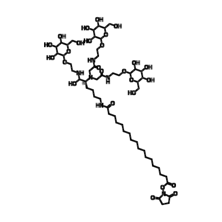 O=C(CCCCCCCCCCCCCCCCC(=O)ON1C(=O)CCC1=O)NCCCC[C@@H](C(O)NCCOC1OC(CO)C(O)C(O)C1O)N(CC(=O)NCCOC1OC(CO)C(O)C(O)C1O)CC(=O)NCCOC1OC(CO)C(O)C(O)C1O